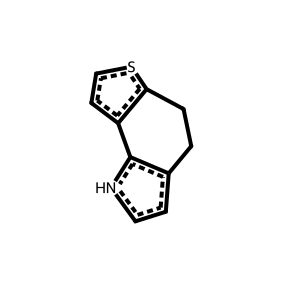 c1cc2c([nH]1)-c1ccsc1CC2